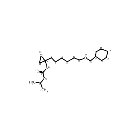 CC(C)OC(=O)OC1(CCCCCCOCC2CCCCC2)CO1